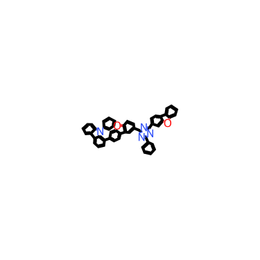 c1ccc(-c2nc(-c3ccc4c(c3)oc3ccccc34)nc(-c3ccc4oc5cc(-c6cccc7c8ccccc8n(-c8ccccc8)c67)ccc5c4c3)n2)cc1